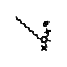 CCCCCCCCCCCCc1cc(C[N+](C)(C)C)c(C)c(C[N+](C)(C)C)c1.[Cl-].[Cl-]